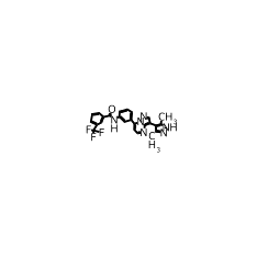 Cc1n[nH]c(C)c1-c1cnn2c(-c3cccc(NC(=O)c4cccc(C(F)(F)F)c4)c3)ccnc12